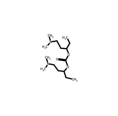 CCC(CCN(C)C)OC(=O)OC(CC)CCN(C)C